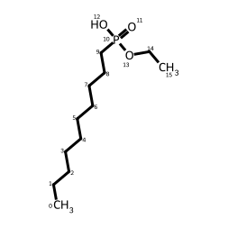 CCCCCCCCCCP(=O)(O)OCC